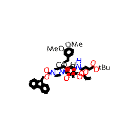 C=CC(=O)OCC(C)(C)C(=O)C(=O)N1CCN(C(=O)OCC2c3ccccc3-c3ccccc32)C[C@]1(C(=O)O)[C@H](CCc1ccc(OC)c(OC)c1)c1cccc(NC(=O)CCC(=O)OC(C)(C)C)c1